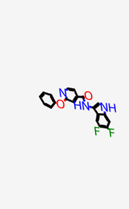 O=C(Nc1c[nH]c2cc(F)c(F)cc12)c1ccnc(Oc2ccccc2)c1